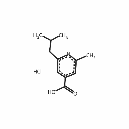 Cc1cc(C(=O)O)cc(CC(C)C)n1.Cl